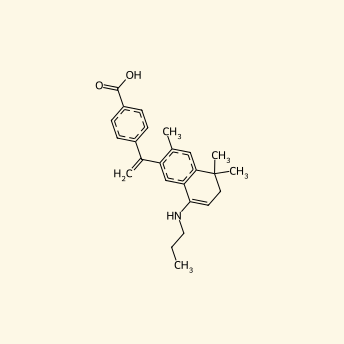 C=C(c1ccc(C(=O)O)cc1)c1cc2c(cc1C)C(C)(C)CC=C2NCCC